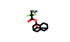 O=C1C2CCC3C(C2)CC1CC3OC(=O)C(F)(F)S(=O)(=O)O